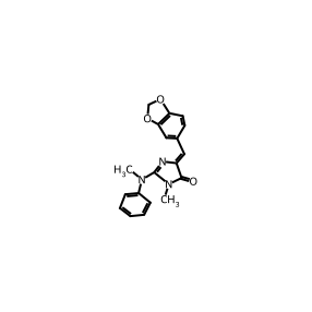 CN1C(=O)C(=Cc2ccc3c(c2)OCO3)N=C1N(C)c1ccccc1